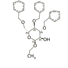 CCO[C@H]1O[C@H](COCc2ccccc2)[C@@H](OCc2ccccc2)[C@H](OCc2ccccc2)[C@H]1O